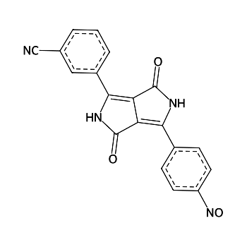 N#Cc1cccc(C2=C3C(=O)NC(c4ccc(N=O)cc4)=C3C(=O)N2)c1